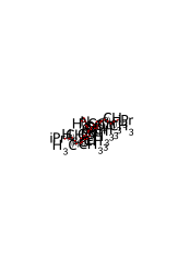 Cc1c(C)c2c(c(C)c1OC(=O)C(OC(=O)CCN1CCCCC1)C(=O)Oc1c(C)c(C)c3c(c1C)CC[C@@](C)(CCC[C@H](C)CCC[C@H](C)CCCC(C)C)O3)CC[C@@](C)(CCC[C@H](C)CCC[C@H](C)CCCC(C)C)O2